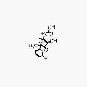 CC1(c2cccc(F)c2)OC(NC(=O)O)=C(O)C1=O